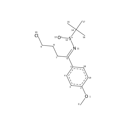 COc1ccc(/C(CCCCl)=N/[S+]([O-])C(C)(C)C)cc1